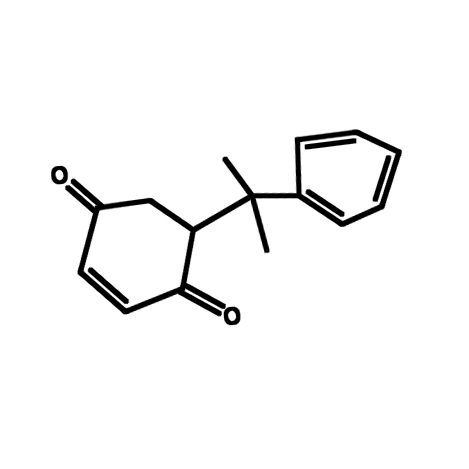 CC(C)(c1ccccc1)C1CC(=O)C=CC1=O